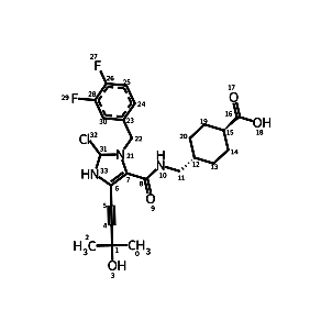 CC(C)(O)C#CC1=C(C(=O)NC[C@H]2CC[C@H](C(=O)O)CC2)N(Cc2ccc(F)c(F)c2)C(Cl)N1